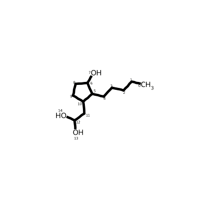 CCCCCC1C(O)CCC1CC(O)O